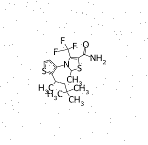 CC(CC(C)(C)C)c1sccc1N1C(C(F)(F)F)=C(C(N)=O)SC1C